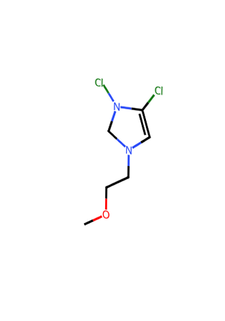 COCCN1C=C(Cl)N(Cl)C1